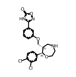 O=c1[nH]c(-c2cccc(OC[C@@H]3CNCCO[C@H]3c3ccc(Cl)c(Cl)c3)c2)no1